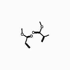 C=C(C)C(=O)OC.C=CC(=O)OC